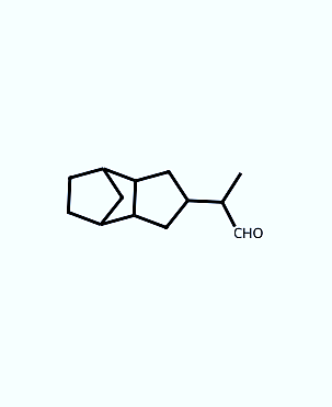 CC(C=O)C1CC2C3CCC(C3)C2C1